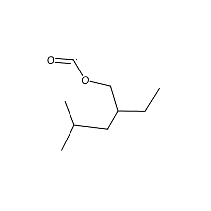 CCC(CO[C]=O)CC(C)C